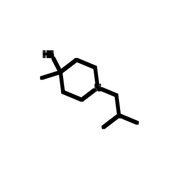 C[C](C)CN1CCC(C)(S)CC1